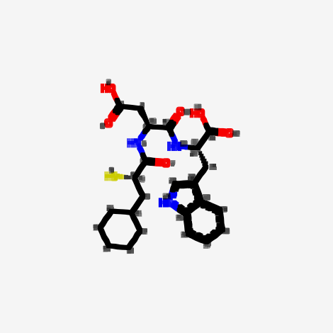 O=C(O)C[C@H](NC(=O)[C@@H](S)CC1CCCCC1)C(=O)N[C@@H](Cc1c[nH]c2ccccc12)C(=O)O